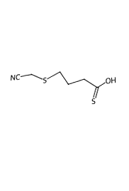 N#CCSCCCC(O)=S